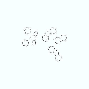 c1ccc2c(c1)Oc1ccccc1C21c2ccccc2-c2c(-c3cccc4c3oc3cccc(-c5nc(-c6cccc7c6oc6ccccc67)nc6ccccc56)c34)cccc21